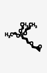 CCCO[Si](CCCOCC1CO1)(OCC)OCC